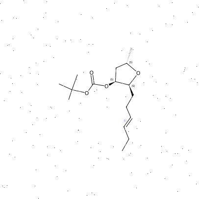 CC/C=C/CC[C@@H]1O[C@@H](C)C[C@@H]1OC(=O)OC(C)(C)C